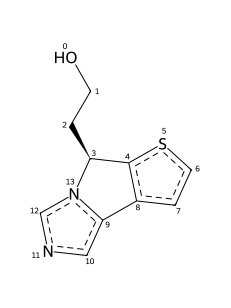 OCC[C@H]1c2sccc2-c2cncn21